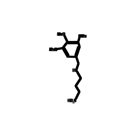 COc1cc(CNCCCS(=O)(=O)O)cc(OC)c1OC